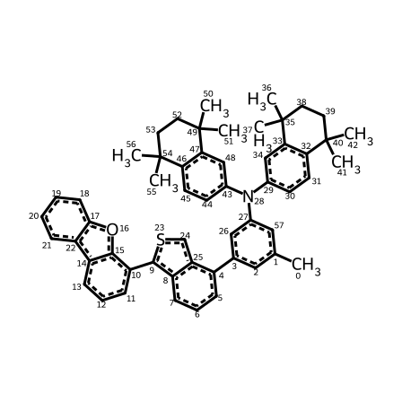 Cc1cc(-c2cccc3c(-c4cccc5c4oc4ccccc45)scc23)cc(N(c2ccc3c(c2)C(C)(C)CCC3(C)C)c2ccc3c(c2)C(C)(C)CCC3(C)C)c1